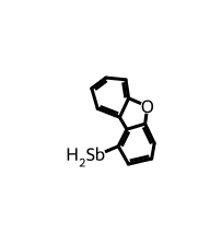 [SbH2][c]1cccc2oc3ccccc3c12